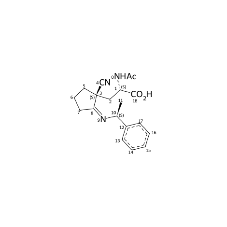 CC(=O)N[C@@H](C[C@@]1(C#N)CCCC1=N[C@@H](C)c1ccccc1)C(=O)O